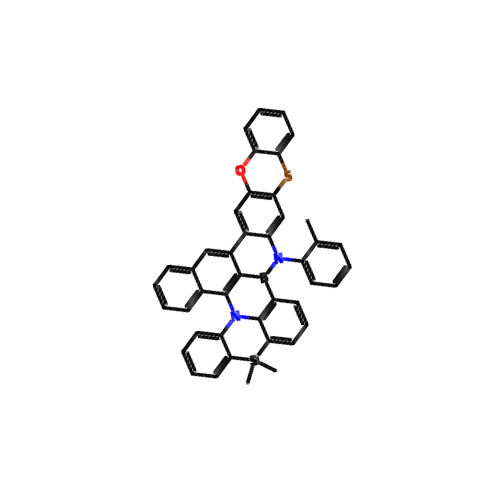 Cc1ccccc1N1B2c3cccc4c3N(c3ccccc3[Si]4(C)C)c3c2c(cc2ccccc32)-c2cc3c(cc21)Sc1ccccc1O3